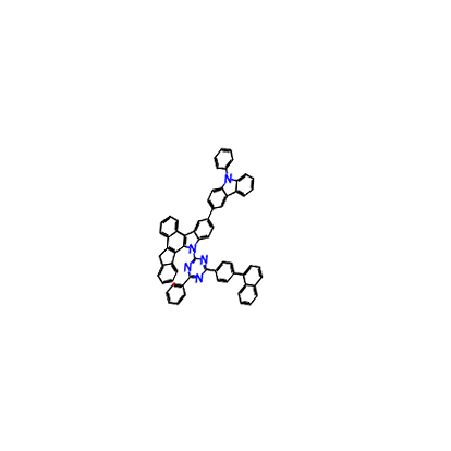 c1ccc(-c2nc(-c3ccc(-c4cccc5ccccc45)cc3)nc(-n3c4ccc(-c5ccc6c(c5)c5ccccc5n6-c5ccccc5)cc4c4c5ccccc5c5c(c43)-c3ccccc3C5)n2)cc1